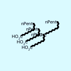 CCCCC/C=C\C/C=C\CCCCCCCC(=O)O.CCCCC/C=C\C/C=C\CCCCCCCC(=O)O.CCCCC/C=C\C/C=C\CCCCCCCC(=O)O.CCCCC/C=C\C/C=C\CCCCCCCC(=O)O